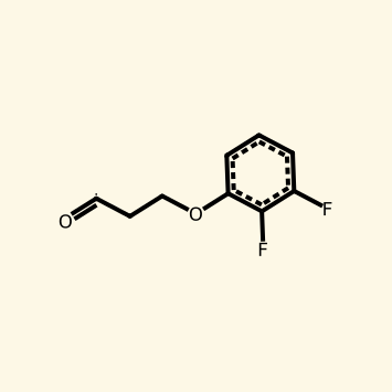 O=[C]CCOc1cccc(F)c1F